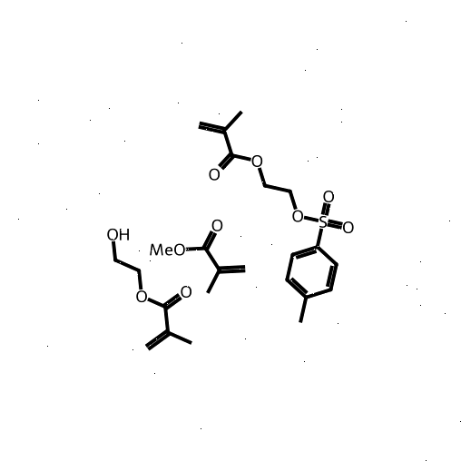 C=C(C)C(=O)OC.C=C(C)C(=O)OCCO.C=C(C)C(=O)OCCOS(=O)(=O)c1ccc(C)cc1